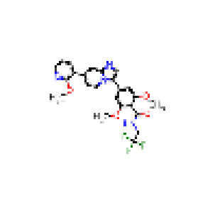 COc1cc(-c2cnc3cc(-c4cccnc4OC)ccn23)cc(OC)c1C(=O)NCC(F)(F)F